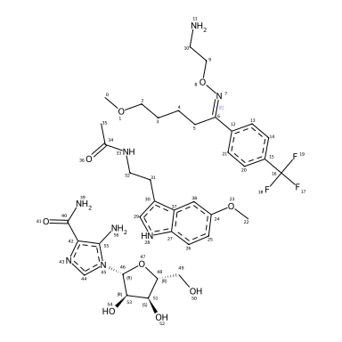 COCCCC/C(=N\OCCN)c1ccc(C(F)(F)F)cc1.COc1ccc2[nH]cc(CCNC(C)=O)c2c1.NC(=O)c1ncn([C@@H]2O[C@H](CO)[C@@H](O)[C@H]2O)c1N